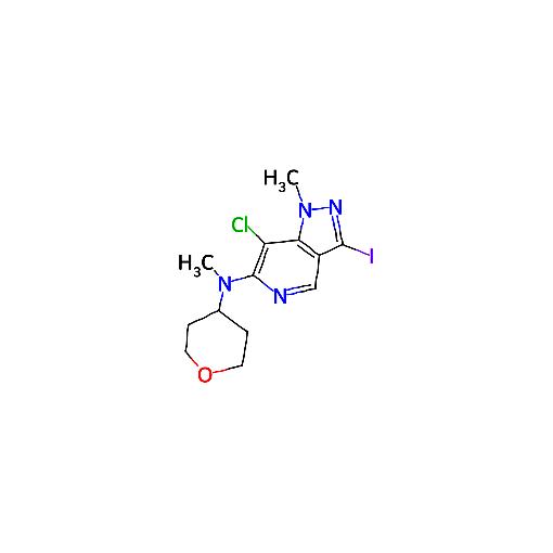 CN(c1ncc2c(I)nn(C)c2c1Cl)C1CCOCC1